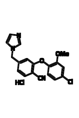 COc1cc(Cl)ccc1Oc1cc(Cn2ccnc2)ccc1C#N.Cl